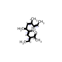 C=C(/C=C(C)\C=C/C)/C(N)=C/C(=C\C)C(C)=O